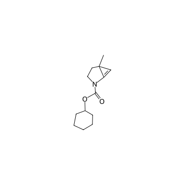 CC12C=C1N(C(=O)OC1CCCCC1)CC2